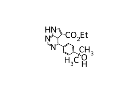 CCOC(=O)c1c[nH]c2ncnc(-c3ccc(C(C)(C)O)cc3)c12